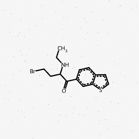 CCNC(CCBr)C(=O)c1ccc2ccsc2c1